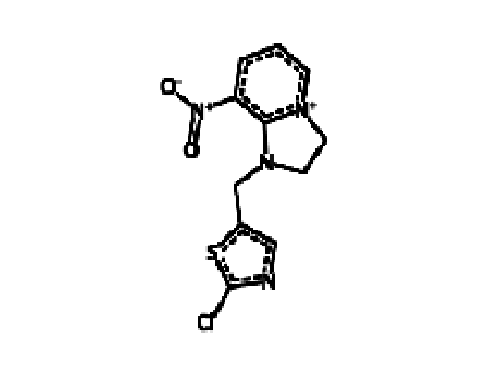 O=[N+]([O-])c1ccc[n+]2c1N(Cc1cnc(Cl)s1)CC2